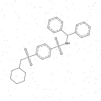 O=S(=O)(CC1CCCCC1)c1ccc(S(=O)(=O)NC(c2ccccc2)c2ccccc2)cc1